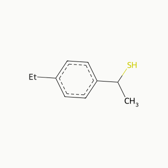 CCc1ccc(C(C)S)cc1